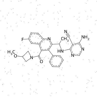 COC1CN(C(=O)c2c(-c3ccccc3)c(C(C)Nc3ncnc(N)c3C#N)nc3ccc(F)cc23)C1